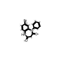 O=C1CC(=O)N(c2ccccc2)c2cc(Br)ccc2N1